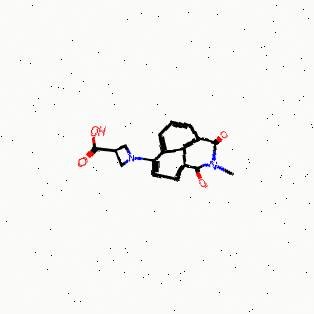 CN1C(=O)c2cccc3c(N4CC(C(=O)O)C4)ccc(c23)C1=O